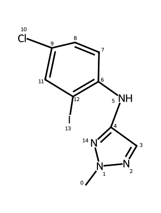 Cn1ncc(Nc2ccc(Cl)cc2I)n1